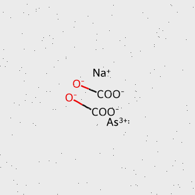 O=C([O-])[O-].O=C([O-])[O-].[As+3].[Na+]